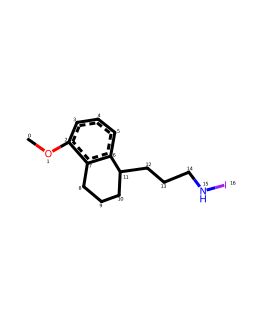 COc1cccc2c1CCCC2CCCNI